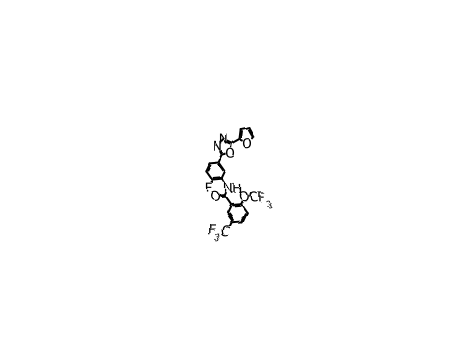 O=C(Nc1cc(-c2nnc(-c3ccco3)o2)ccc1F)c1cc(C(F)(F)F)ccc1OC(F)(F)F